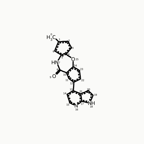 Cc1ccc2c(c1)NC(=O)c1cc(-c3ccnc4[nH]ccc34)ccc1O2